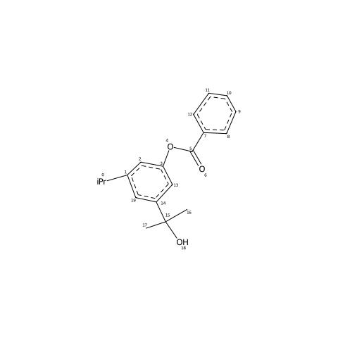 CC(C)c1cc(OC(=O)c2ccccc2)cc(C(C)(C)O)c1